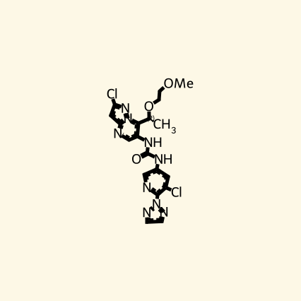 COCCO[C@H](C)c1c(NC(=O)Nc2cnc(-n3nccn3)c(Cl)c2)cnc2cc(Cl)nn12